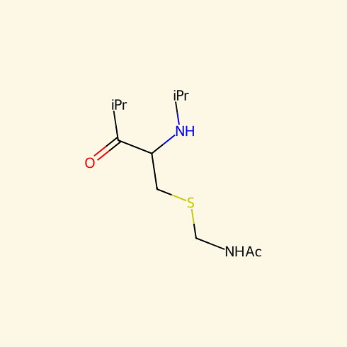 CC(=O)NCSCC(NC(C)C)C(=O)C(C)C